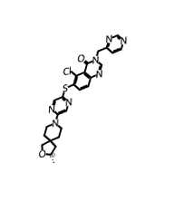 C[C@H]1CC2(CCN(c3cnc(Sc4ccc5ncn(Cc6ccncn6)c(=O)c5c4Cl)cn3)CC2)CO1